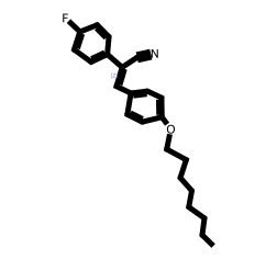 CCCCCCCCOc1ccc(/C=C(\C#N)c2ccc(F)cc2)cc1